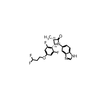 C[C@@H]1C(=O)N(c2ccc3[nH]cnc3c2)[C@@H]1c1c(F)cc(OCCC(F)F)cc1F